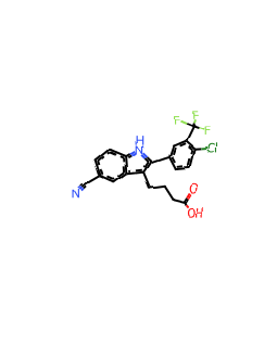 N#Cc1ccc2[nH]c(-c3ccc(Cl)c(C(F)(F)F)c3)c(CCCC(=O)O)c2c1